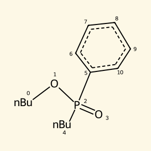 CCCCOP(=O)(CCCC)c1ccccc1